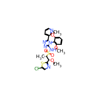 COc1cccc(OC)c1-n1c(NS(=O)(=O)[C@@H](C)[C@H](OC)c2ncc(Cl)s2)nnc1-c1cccnc1